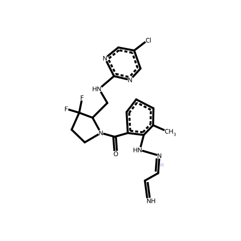 Cc1cccc(C(=O)N2CCC(F)(F)C2CNc2ncc(Cl)cn2)c1N/N=C\C=N